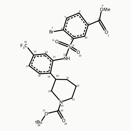 COC(=O)c1ccc(Br)c(S(=O)(=O)Nc2cc(C(F)(F)F)ccc2C2CCCN(C(=O)OC(C)(C)C)C2)c1